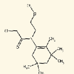 CCOCCN(C(=O)CCl)C1=C(C)C(C)(C)CC(C)(C)C1